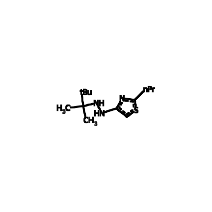 CCCc1nc(NNC(C)(C)C(C)(C)C)cs1